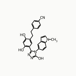 Cn1ccc2cc(-n3c(O)nnc3-c3cc(CCc4ccc(C#N)cc4)c(O)cc3O)ccc21